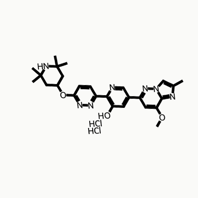 COc1cc(-c2cnc(-c3ccc(OC4CC(C)(C)NC(C)(C)C4)nn3)c(O)c2)nn2cc(C)nc12.Cl.Cl